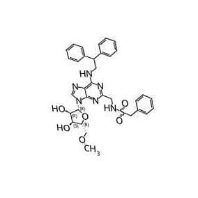 COC[C@H]1O[C@@H](n2cnc3c(NCC(c4ccccc4)c4ccccc4)nc(CNS(=O)(=O)Cc4ccccc4)nc32)[C@H](O)[C@@H]1O